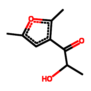 Cc1cc(C(=O)C(C)O)c(C)o1